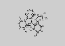 Cc1ccc(C)c(C(=O)C(O)(C(=O)c2c(C)ccc(C)c2C)C(C)CC(C)(C)C)c1C.P